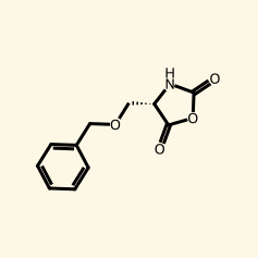 O=C1N[C@@H](COCc2ccccc2)C(=O)O1